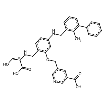 Cc1c(CNc2ccc(CN[C@H](CO)C(=O)O)c(OCc3cncc(C(=O)O)c3)c2)cccc1-c1ccccc1